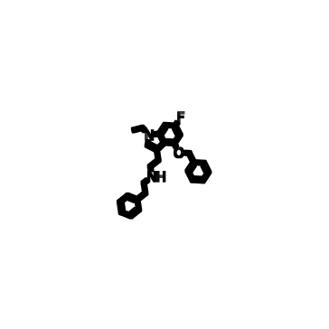 CCn1cc(CCNCCc2ccccc2)c2c(OCc3ccccc3)cc(F)cc21